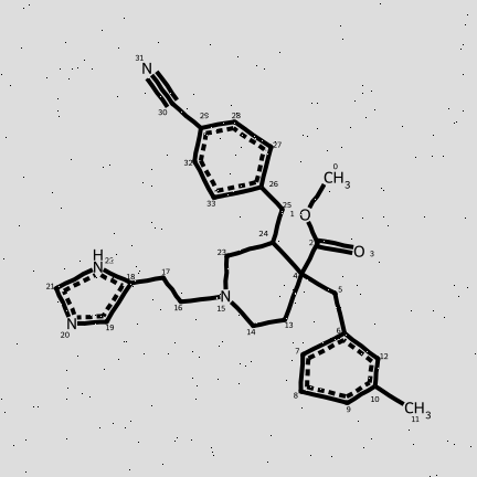 COC(=O)C1(Cc2cccc(C)c2)CCN(CCc2cnc[nH]2)CC1Cc1ccc(C#N)cc1